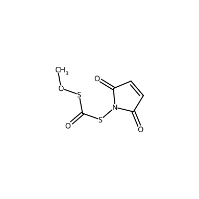 COSC(=O)SN1C(=O)C=CC1=O